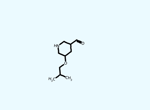 CC(C)COC1CNCC(C=O)C1